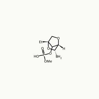 B[C@@H]1O[C@]2(CC)CO[C@H]1C2OP(=O)(O)OC